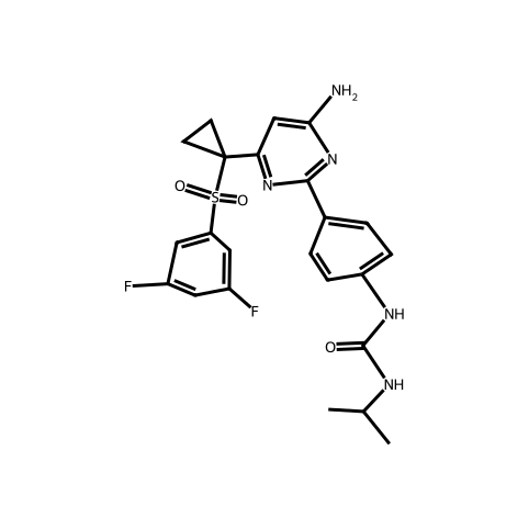 CC(C)NC(=O)Nc1ccc(-c2nc(N)cc(C3(S(=O)(=O)c4cc(F)cc(F)c4)CC3)n2)cc1